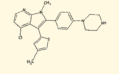 Cc1csc(-c2c(-c3ccc(N4CCNCC4)cc3)n(C)c3nccc(Cl)c23)c1